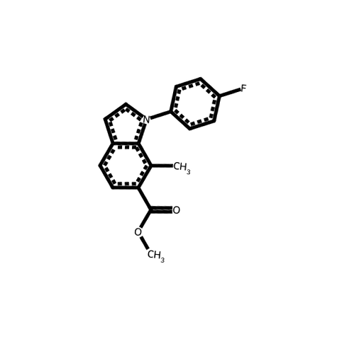 COC(=O)c1ccc2ccn(-c3ccc(F)cc3)c2c1C